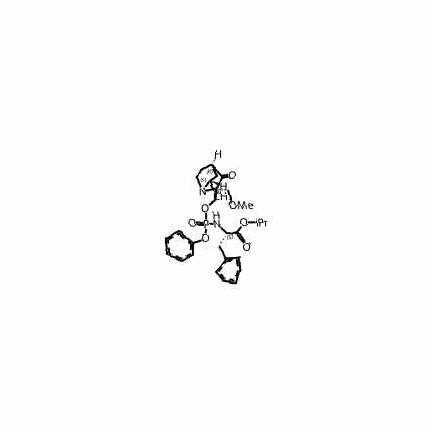 COC[C@@]1(COP(=O)(N[C@@H](Cc2ccccc2)C(=O)OC(C)C)Oc2ccccc2)C(=O)[C@@H]2CCN1[C@@H](C)C2